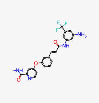 CNC(=O)c1cc(Oc2cccc(C=CC(=O)Nc3cc(N)cc(C(F)(F)F)c3)c2)ccn1